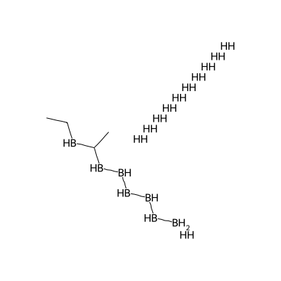 BBBBBBC(C)BCC.[HH].[HH].[HH].[HH].[HH].[HH].[HH].[HH].[HH].[HH].[HH]